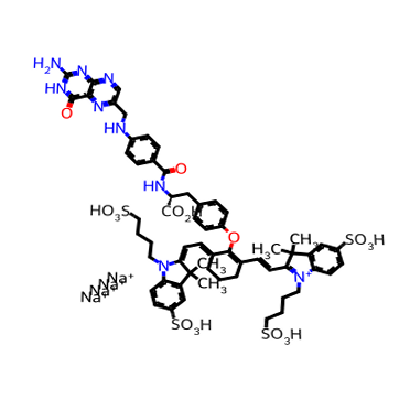 CC1(C)C(/C=C/C2=C(Oc3ccc(C[C@H](NC(=O)c4ccc(NCc5cnc6nc(N)[nH]c(=O)c6n5)cc4)C(=O)O)cc3)C(=C/C=C3/N(CCCCS(=O)(=O)O)c4ccc(S(=O)(=O)O)cc4C3(C)C)/CCC2)=[N+](CCCCS(=O)(=O)O)c2ccc(S(=O)(=O)O)cc21.[Na+].[Na+].[Na+].[Na+]